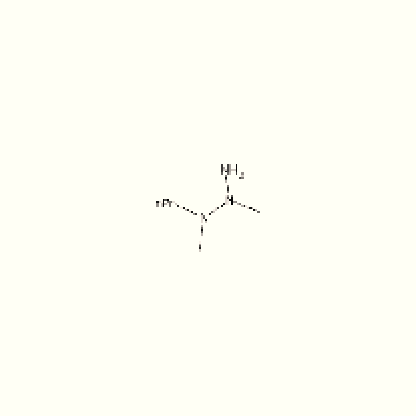 CCCN(C)N(C)N